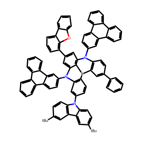 CC(C)(C)c1ccc2c(c1)c1cc(C(C)(C)C)ccc1n2-c1ccc2c(c1)N(c1ccc3c4ccccc4c4ccccc4c3c1)c1cc(-c3cccc4c3oc3ccccc34)cc3c1B2c1cc(-c2ccccc2)ccc1N3c1ccc2c3ccccc3c3ccccc3c2c1